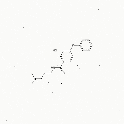 CN(C)CCCNC(=O)c1ccc(Oc2ccccc2)cc1.Cl